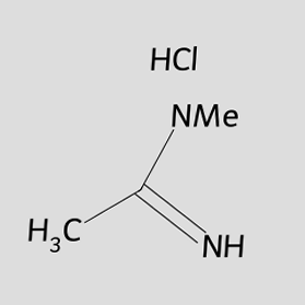 CNC(C)=N.Cl